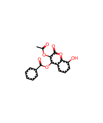 CC(=O)Oc1c(OC(=O)c2ccccc2)c2cccc(O)c2oc1=O